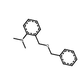 CN(C)c1ccccc1[CH]OCc1ccccc1